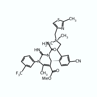 COC(=O)C1=C(C)N(c2cccc(C(F)(F)F)c2)C(=N)N(C(N)=O)[C@@H]1c1ccc(C#N)cc1CC[N+](C)(C)Cc1csc(C)n1